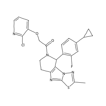 Cc1nn2c3c(nc2s1)CCN(C(=O)COc1cccnc1Cl)C3c1ccc(C2CC2)cc1F